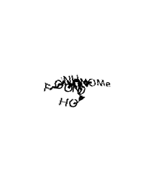 COC1CN(c2ccc(C(=O)N[C@@H](C)COCCCF)nc2OC[C@H]2C[C@@H]2CO)C1